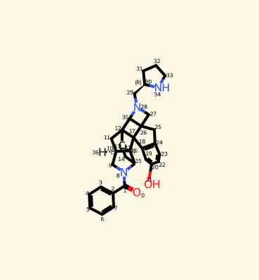 O=C(c1ccccc1)N1C[C@H]2CC34CCC1[C@H]2C31c2cc(O)ccc2CC12CN(C[C@H]1CCCN1)C42